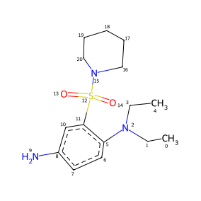 CCN(CC)c1ccc(N)cc1S(=O)(=O)N1CCCCC1